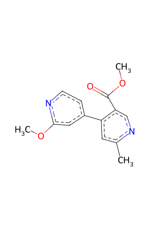 COC(=O)c1cnc(C)cc1-c1ccnc(OC)c1